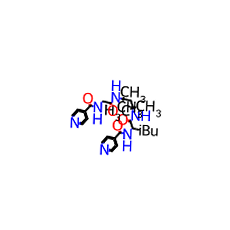 CCC(C)C(NC(=O)c1ccncc1)C(=O)NC(C)(C)CC(C)(C)NC(=O)CNC(=O)c1ccncc1